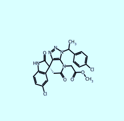 COC(=O)CN1C(=O)C[C@]2(C(=O)Nc3ccc(Cl)cc32)c2nnn(C(C)c3ccc(Cl)cc3)c21